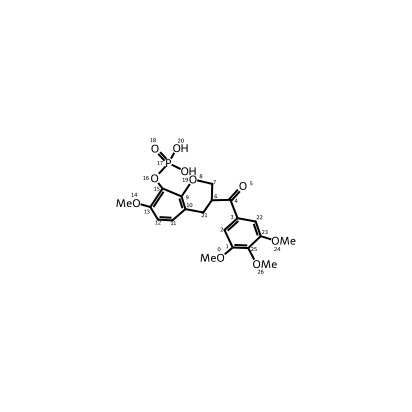 COc1cc(C(=O)C2COc3c(ccc(OC)c3OP(=O)(O)O)C2)cc(OC)c1OC